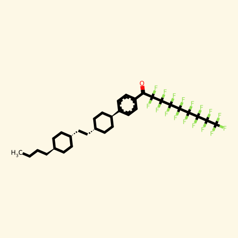 CCCC[C@H]1CC[C@H](CC[C@H]2CC[C@H](c3ccc(C(=O)C(F)(F)C(F)(F)C(F)(F)C(F)(F)C(F)(F)C(F)(F)C(F)(F)C(F)(F)F)cc3)CC2)CC1